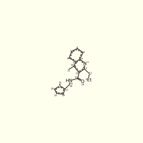 CCSc1nc2ccccc2c(C)c1C(=O)NCc1cccs1